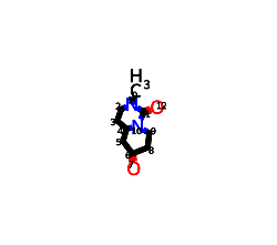 CN1CCC2CC(=O)CCN2C1=O